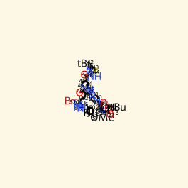 COc1ccc(Cn2nnnc2C=Cc2c(N3CCN(C(=O)C[N+](C)(C)CC(=O)OC(C)(C)C)CC3)nc3cc(C(=O)Nc4nc(C(C)(C)C)cs4)ccn3c2=O)cc1.[Br-]